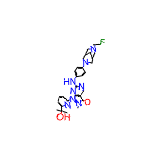 Cn1c(=O)c2cnc(Nc3ccc(N4CC5CC(CN(CCF)C5)C4)cc3)nc2n1-c1cccc(C(C)(C)O)n1